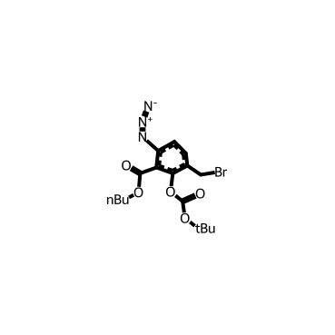 CCCCOC(=O)c1c(N=[N+]=[N-])ccc(CBr)c1OC(=O)OC(C)(C)C